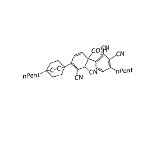 CCCCCc1ccc(C2(C(=O)O)C=CC(C34CCC(CCCCC)(CC3)CC4)=C(C#N)C2C#N)c(C#N)c1C#N